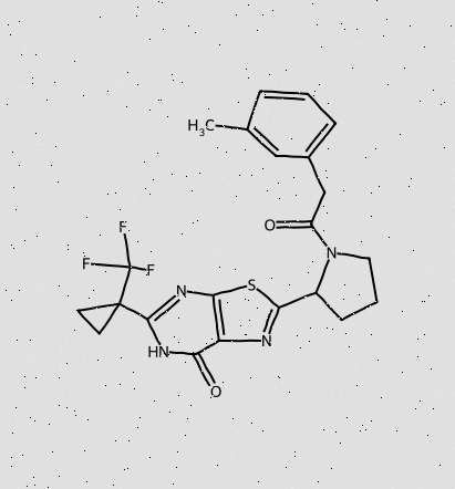 Cc1cccc(CC(=O)N2CCCC2c2nc3c(=O)[nH]c(C4(C(F)(F)F)CC4)nc3s2)c1